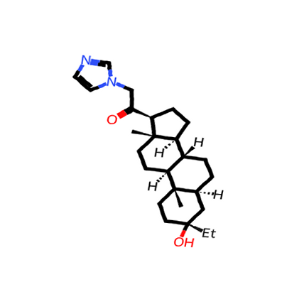 CC[C@@]1(O)CC[C@@]2(C)[C@@H](CC[C@@H]3[C@@H]2CC[C@]2(C)[C@@H](C(=O)Cn4ccnc4)CC[C@@H]32)C1